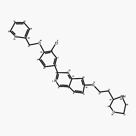 Clc1cc(-c2ncc3ccc(OCCC4COCCN4)cc3n2)ccc1OCc1ccccn1